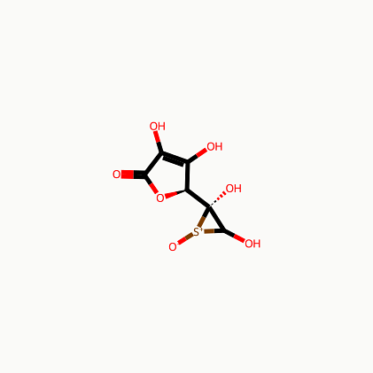 O=C1O[C@H]([C@@]2(O)C(O)[S+]2[O-])C(O)=C1O